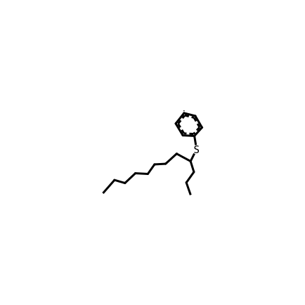 CCCCCCCCC(CCC)Sc1cc[c]cc1